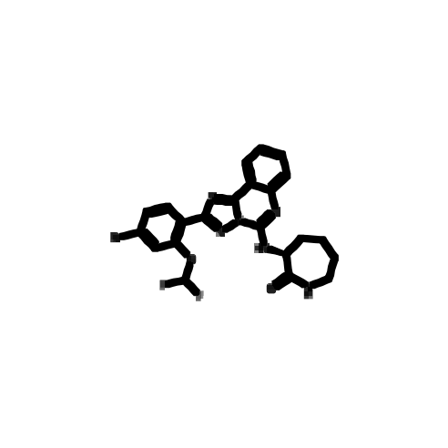 O=C1NCCCC[C@@H]1Nc1nc2ccccc2c2nc(-c3ccc(Br)cc3OC(F)F)nn12